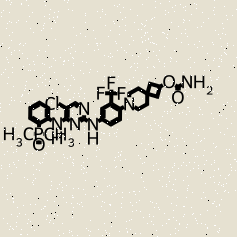 CP(C)(=O)c1ccccc1Nc1nc(Nc2ccc(N3CCC4(CC3)CC(OC(N)=O)C4)c(C(F)(F)F)c2)ncc1Cl